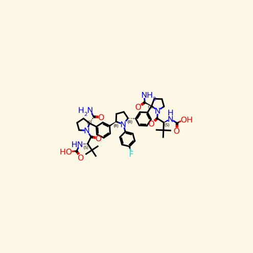 CC(C)(C)[C@H](NC(=O)O)C(=O)N1CCC[C@@]1(C(N)=O)c1cccc([C@H]2CC[C@H](c3cccc([C@]4(C(N)=O)CCCN4C(=O)[C@@H](NC(=O)O)C(C)(C)C)c3)N2c2ccc(F)cc2)c1